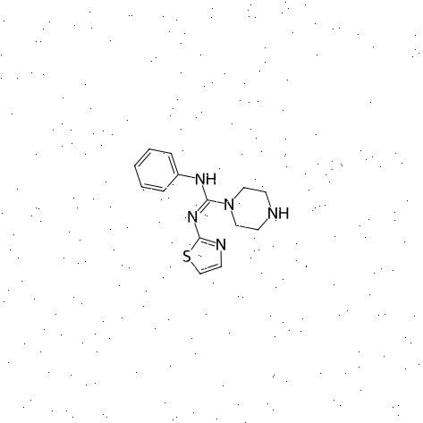 c1ccc(NC(=Nc2nccs2)N2CCNCC2)cc1